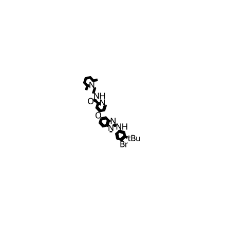 CC1CCCC(C)N1CCNC(=O)c1cc(Oc2ccc3c(c2)nc(Nc2ccc(Br)c(C(C)(C)C)c2)n3C)ccn1